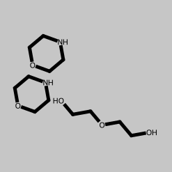 C1COCCN1.C1COCCN1.OCCOCCO